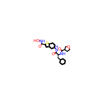 O=C(NO)c1cc2cc(NC(=O)[C@H](Cc3ccccc3)NC(=O)C3CCOC3)ccc2s1